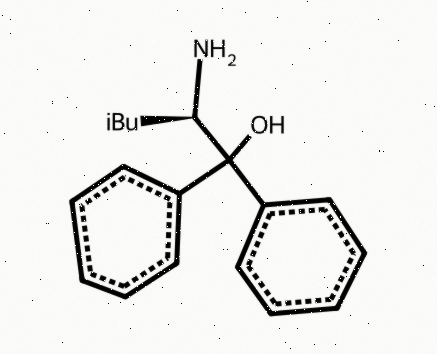 CCC(C)[C@@H](N)C(O)(c1ccccc1)c1ccccc1